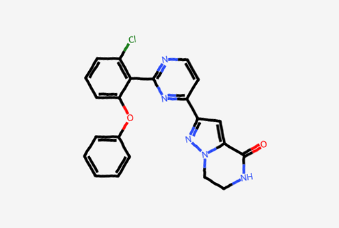 O=C1NCCn2nc(-c3ccnc(-c4c(Cl)cccc4Oc4ccccc4)n3)cc21